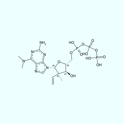 C=C[C@]1(C)[C@H](O)[C@@H](COP(=O)(O)OP(=O)(O)OP(=O)(O)O)O[C@H]1n1cnc2c(N(C)C)nc(N)nc21